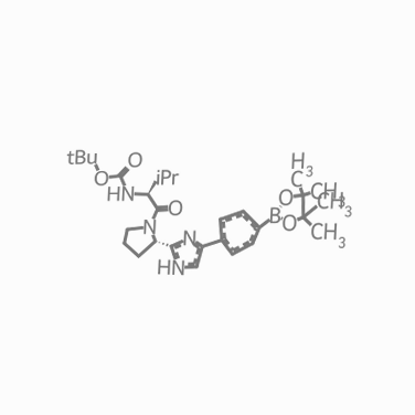 CC(C)[C@H](NC(=O)OC(C)(C)C)C(=O)N1CCC[C@H]1c1nc(-c2ccc(B3OC(C)(C)C(C)(C)O3)cc2)c[nH]1